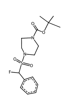 CC(C)(C)OC(=O)N1CCN(S(=O)(=O)C(F)c2ccccc2)CC1